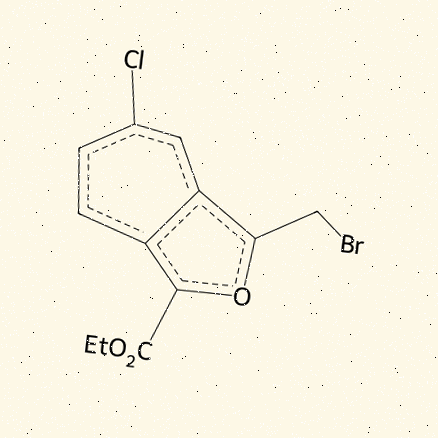 CCOC(=O)c1oc(CBr)c2cc(Cl)ccc12